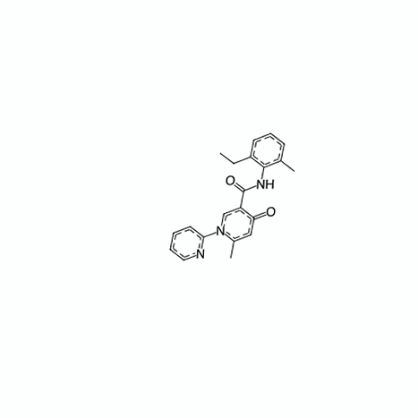 CCc1cccc(C)c1NC(=O)c1cn(-c2ccccn2)c(C)cc1=O